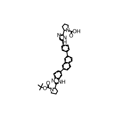 CC(C)(C)OC(=O)N1CCCC1c1nc2ccc(-c3ccc4ccc(-c5ccc(-c6cnc(C7CCCN7C(=O)O)[nH]6)cc5)cc4c3)cc2[nH]1